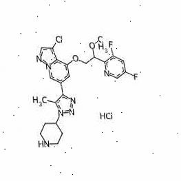 COC(COc1cc(-c2nnn(C3CCNCC3)c2C)cn2ncc(Cl)c12)c1ncc(F)cc1F.Cl